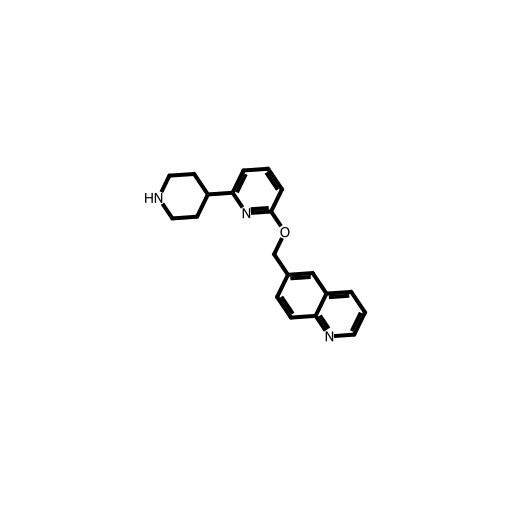 c1cc(OCc2ccc3ncccc3c2)nc(C2CCNCC2)c1